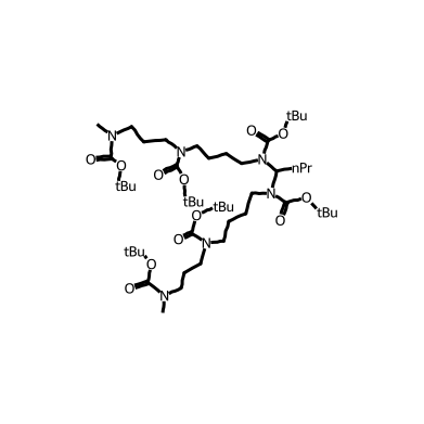 CCCC(N(CCCCN(CCCN(C)C(=O)OC(C)(C)C)C(=O)OC(C)(C)C)C(=O)OC(C)(C)C)N(CCCCN(CCCN(C)C(=O)OC(C)(C)C)C(=O)OC(C)(C)C)C(=O)OC(C)(C)C